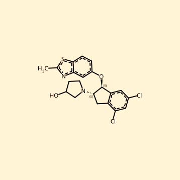 Cc1nc2cc(O[C@H]3c4cc(Cl)cc(Cl)c4C[C@@H]3N3CCC(O)C3)ccc2s1